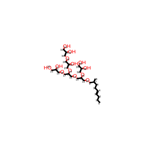 CCC/C=C/CCC(C)COCC(COCC(COCC(O)CO)OCC(O)COCC(O)CO)OCC(O)CO